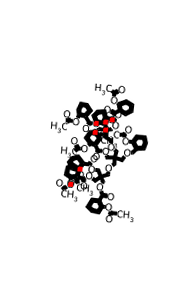 CC(=O)Oc1ccccc1COCC(COCCC(COC(=O)c1ccccc1OC(C)=O)(COC(=O)c1ccccc1OC(C)=O)COC(=O)c1ccccc1OC(C)=O)(COCC(COC(=O)c1ccccc1OC(C)=O)(COC(=O)c1ccccc1OC(C)=O)COC(=O)c1ccccc1OC(C)=O)COC(=O)c1ccccc1OC(C)=O